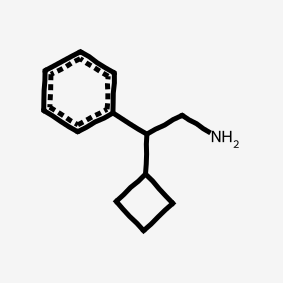 NCC(c1ccccc1)C1CCC1